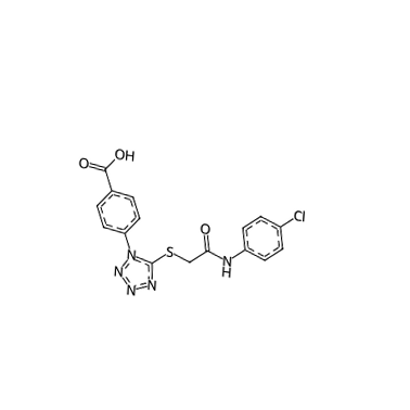 O=C(CSc1nnnn1-c1ccc(C(=O)O)cc1)Nc1ccc(Cl)cc1